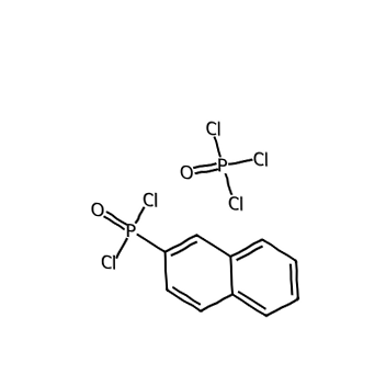 O=P(Cl)(Cl)Cl.O=P(Cl)(Cl)c1ccc2ccccc2c1